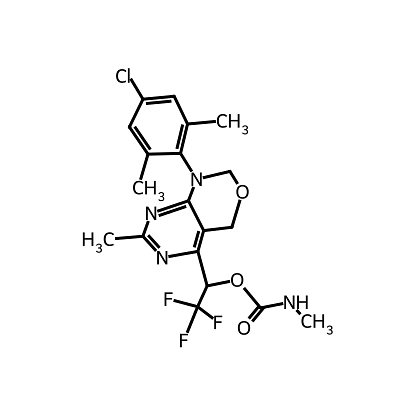 CNC(=O)OC(c1nc(C)nc2c1COCN2c1c(C)cc(Cl)cc1C)C(F)(F)F